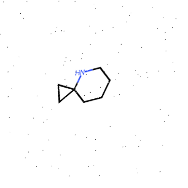 C1CCC2(CC2)NC1